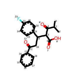 CC(C)C(=O)C(C(=O)O)C(CC(=O)c1ccccc1)c1ccc(F)cc1